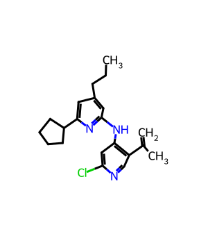 C=C(C)c1cnc(Cl)cc1Nc1cc(CCC)cc(C2CCCC2)n1